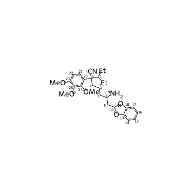 CCC(CC)C(C#N)(CCCC(N)CC1Oc2ccccc2O1)c1ccc(OC)c(OC)c1OC